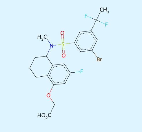 CN(C1CCCc2c(OCC(=O)O)cc(F)cc21)S(=O)(=O)c1cc(Br)cc(C(C)(F)F)c1